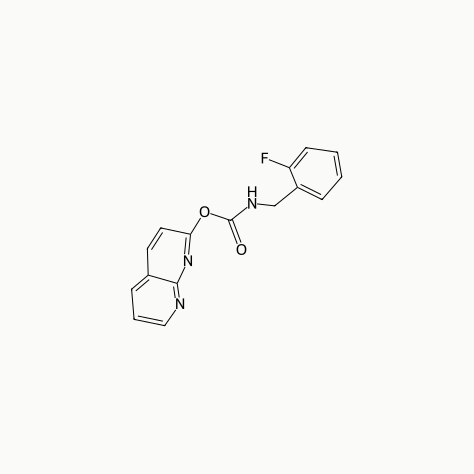 O=C(NCc1ccccc1F)Oc1ccc2cccnc2n1